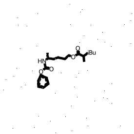 CCC(C)C(C)C(=O)OCCCCC(C)NC(=O)Oc1ccccc1